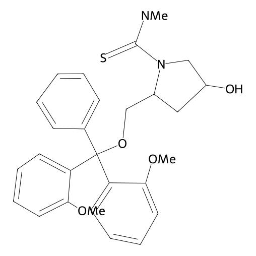 CNC(=S)N1CC(O)CC1COC(c1ccccc1)(c1ccccc1OC)c1ccccc1OC